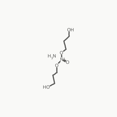 N.O=[N+](OCCCO)OCCCO